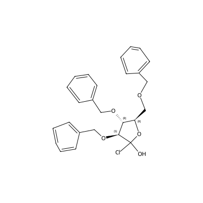 OC1(Cl)O[C@H](COCc2ccccc2)[C@@H](OCc2ccccc2)[C@@H]1OCc1ccccc1